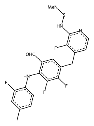 CNSNc1nccc(Cc2cc(C=O)c(Nc3ccc(C)cc3F)c(F)c2F)c1F